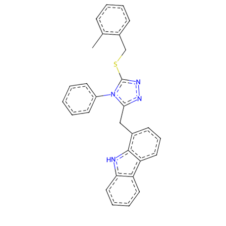 Cc1ccccc1CSc1nnc(Cc2cccc3c2[nH]c2ccccc23)n1-c1ccccc1